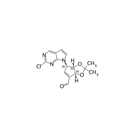 CC1(C)O[C@@H]2[C@H](O1)C(C=O)=C[C@H]2n1ccc2cnc(Cl)nc21